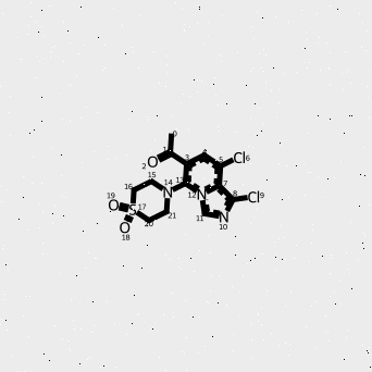 CC(=O)c1cc(Cl)c2c(Cl)ncn2c1N1CCS(=O)(=O)CC1